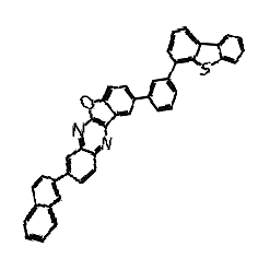 c1cc(-c2ccc3oc4nc5cc(-c6ccc7ccccc7c6)ccc5nc4c3c2)cc(-c2cccc3c2sc2ccccc23)c1